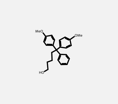 COc1ccc(C(CCCCO)(c2ccccc2)c2ccc(OC)cc2)cc1